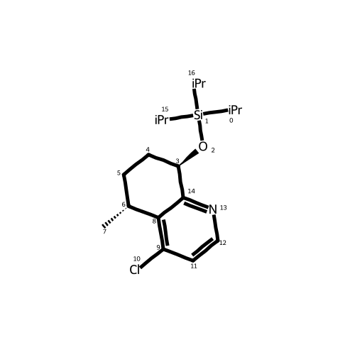 CC(C)[Si](O[C@@H]1CC[C@@H](C)c2c(Cl)ccnc21)(C(C)C)C(C)C